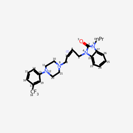 CCCn1c(=O)n(C/C=C\CN2CCN(c3cccc(C(F)(F)F)c3)CC2)c2ccccc21